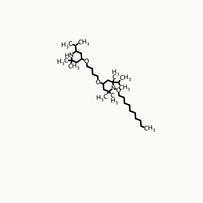 CCCCCCCCCCON1C(C)(C)CC(OCCCCOC2CC(C(C)C)NC(C)(C)C2)CC1(C)C(C)C